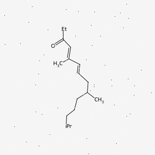 CCC(=O)/C=C(C)/C=C/CC(C)CCCC(C)C